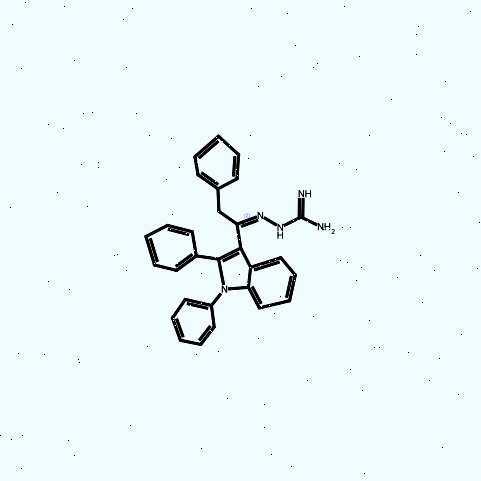 N=C(N)N/N=C(/Cc1ccccc1)c1c(-c2ccccc2)n(-c2ccccc2)c2ccccc12